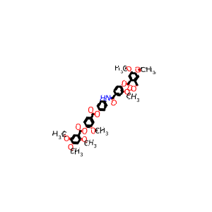 COc1cc(C=O)c(C(=O)Oc2ccc(C(=O)Nc3ccc(OC(=O)c4ccc(OC(=O)c5cc(OC)c(OC)cc5OC)c(OC)c4)cc3)cc2OC)cc1OC